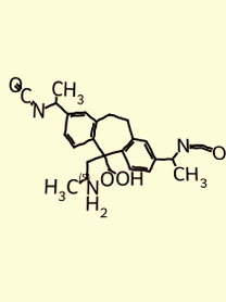 CC(N=C=O)c1ccc2c(c1)CCc1cc(C(C)N=C=O)ccc1C2(C[C@H](C)N)C(=O)O